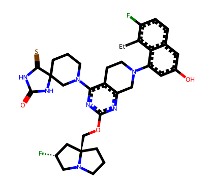 CCc1c(F)ccc2cc(O)cc(N3CCc4c(nc(OC[C@@]56CCCN5C[C@H](F)C6)nc4N4CCCC5(C4)NC(=O)NC5=S)C3)c12